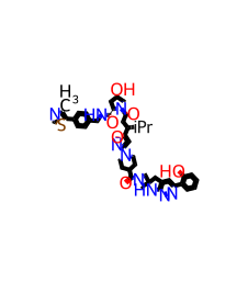 Cc1ncsc1-c1ccc(CNC(=O)[C@@H]2C[C@@H](O)CN2C(=O)CC(c2cc(N3CCC(C(=O)N4CC5(Cc6cc(-c7ccccc7O)nnc6N5)C4)CC3)no2)C(C)C)cc1